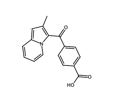 Cc1[c]c2ccccn2c1C(=O)c1ccc(C(=O)O)cc1